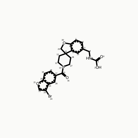 O=C(O)NCc1ccc2c(c1)C1(CCN(C(=O)c3ccc4occ(Br)c4c3)CC1)CO2